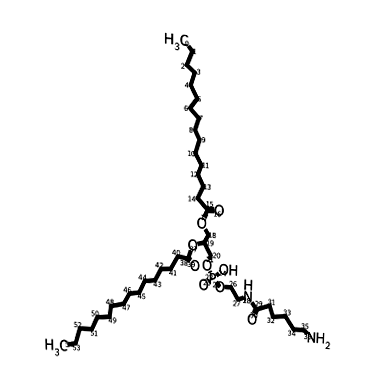 CCCCCCCCCCCCCCCC(=O)OCC(COP(=O)(O)OCCNC(=O)CCCCCN)OC(=O)CCCCCCCCCCCCCCC